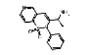 C[C@H](N)C1=Cc2cnccc2S(=O)(=O)N1c1ccccc1